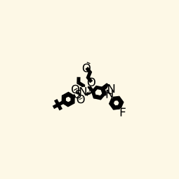 CCCN(C[C@]1(COCCOC)C=Cc2c(cnn2-c2ccc(F)cc2)C1)S(=O)(=O)c1ccc(C(C)(C)C)cc1